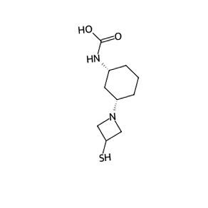 O=C(O)N[C@@H]1CCC[C@H](N2CC(S)C2)C1